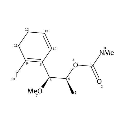 CNC(=O)O[C@@H](C)[C@@H](OC)C1=C(I)CCC=C1